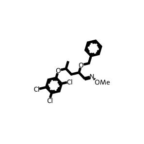 CON=CC(CC(C)Oc1cc(Cl)c(Cl)cc1Cl)OCc1ccccc1